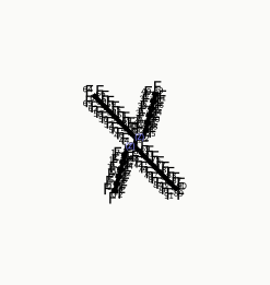 FC(F)(F)C(F)(F)C(F)(F)C(F)(F)C(F)(F)C(F)(F)/C=C(/C(=C/C(F)(F)C(F)(F)C(F)(F)C(F)(F)C(F)(F)C(F)(F)F)C(F)(F)C(F)(F)C(F)(F)C(F)(F)C(F)(F)C(F)(F)C(F)(F)C(F)(F)F)C(F)(F)C(F)(F)C(F)(F)C(F)(F)C(F)(F)C(F)(F)C(F)(F)C(F)(F)F